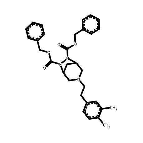 Cc1ccc(CCN2CC3CC(C2)N(C(=O)OCc2ccccc2)N3C(=O)OCc2ccccc2)cc1C